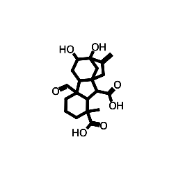 C=C1CC23CC1(O)C(O)CC2C1(C=O)CCCC(C)(C(=O)O)C1C3C(=O)O